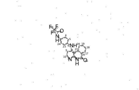 O=C(Nc1ccc(Nc2ccnc3[nH]c(=O)c4ccccc4c23)cc1)C(F)(F)F